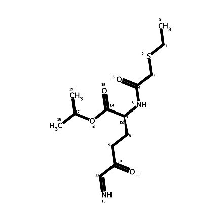 CCSCC(=O)N[C@@H](CCC(=O)C=N)C(=O)OC(C)C